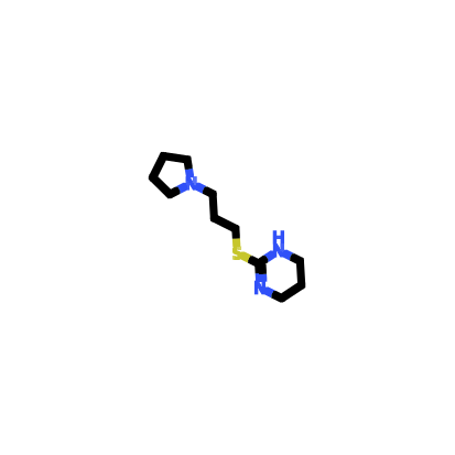 C1CN=C(SCCCN2CCCC2)NC1